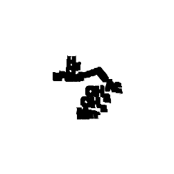 CCCCCCC(C)=O.O.O.O.[Mn]